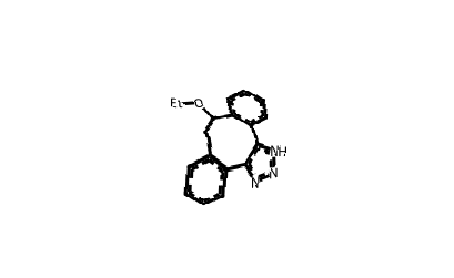 CCOC1Cc2ccccc2-c2nn[nH]c2-c2ccccc21